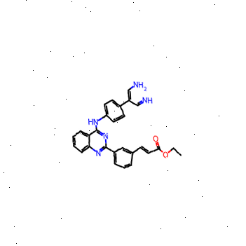 CCOC(=O)/C=C/c1cccc(-c2nc(Nc3ccc(/C(C=N)=C/N)cc3)c3ccccc3n2)c1